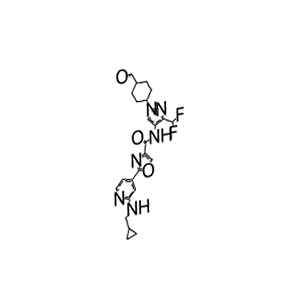 O=CC1CCC(n2cc(NC(=O)c3coc(-c4ccnc(NCC5CC5)c4)n3)c(C(F)F)n2)CC1